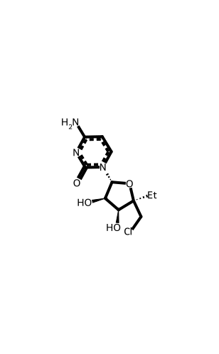 CC[C@@]1(CCl)O[C@@H](n2ccc(N)nc2=O)[C@H](O)[C@@H]1O